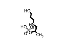 CC(CNCCCO)OP(=O)(O)O